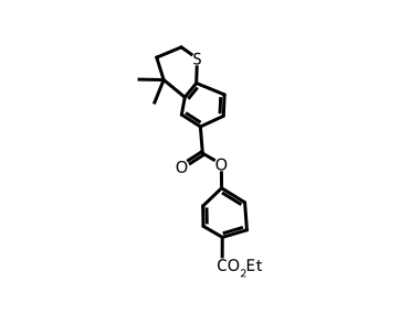 CCOC(=O)c1ccc(OC(=O)c2ccc3c(c2)C(C)(C)CCS3)cc1